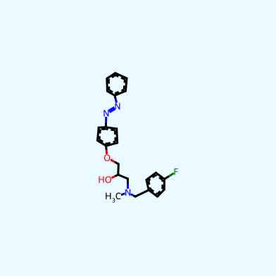 CN(Cc1ccc(F)cc1)CC(O)COc1ccc(N=Nc2ccccc2)cc1